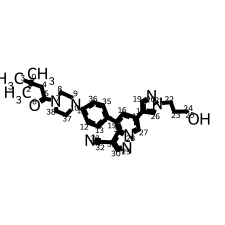 CC(C)(C)CC(=O)N1CCN(c2ccc(-c3cc(-c4cnn(CCCO)c4)cn4ncc(C#N)c34)cc2)CC1